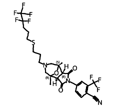 C[C@]12CN(CCCSCCCC(F)(F)C(F)(F)F)C[C@](C)(O1)[C@H]1C(=O)N(c3ccc(C#N)c(C(F)(F)F)c3)C(=O)[C@H]12